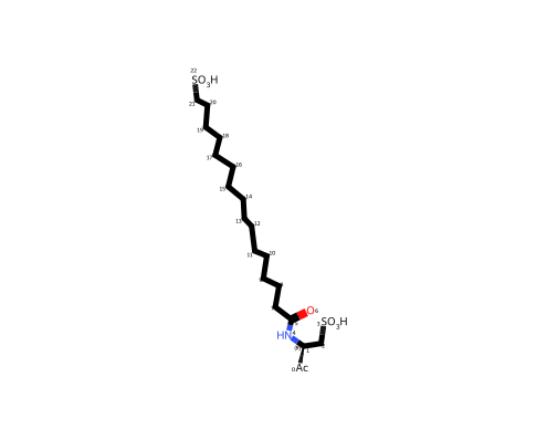 CC(=O)[C@H](CS(=O)(=O)O)NC(=O)CCCCCCCCCCCCCCCS(=O)(=O)O